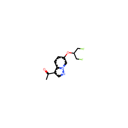 CC(=O)c1cnn2cc(OC(CF)CF)ccc12